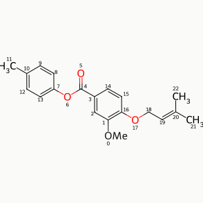 COc1cc(C(=O)Oc2ccc(C)cc2)ccc1OCC=C(C)C